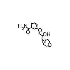 NC(=O)c1cccc(OCC(O)CN2CCOCC2)c1